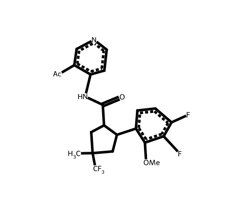 COc1c(C2CC(C)(C(F)(F)F)CC2C(=O)Nc2ccncc2C(C)=O)ccc(F)c1F